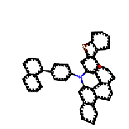 c1ccc2c(-c3ccc(N(c4ccc5c(c4)sc4ccccc45)c4cc5ccccc5c5ccc6ccccc6c45)cc3)cccc2c1